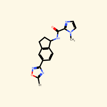 CCc1nc(-c2ccc3c(c2)CCC3NC(=O)c2nccn2C)no1